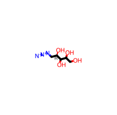 [N-]=[N+]=NC[C@@H](O)C(O)C(O)CO